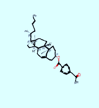 CCCC(=O)c1ccc(C(=O)O[C@H]2CC[C@@]3(C)C(=CC[C@H]4[C@@H]5CC[C@H]([C@H](C)CCCC(C)C)[C@@]5(C)CC[C@@H]43)C2)cc1